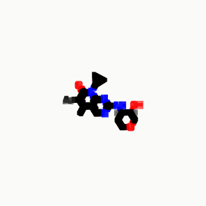 CC(=O)c1c(C)c2cnc(N[C@@H]3CCOC[C@H]3O)nc2n(C2CC2)c1=O